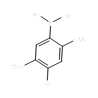 COc1cc(B(O)O)c(OC)cc1Br